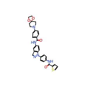 O=C(Nc1ccc2c(cnn2-c2ccc(NC(=O)c3cccs3)cc2)c1)c1ccc(N2CCC3(CC2)OCCO3)cc1